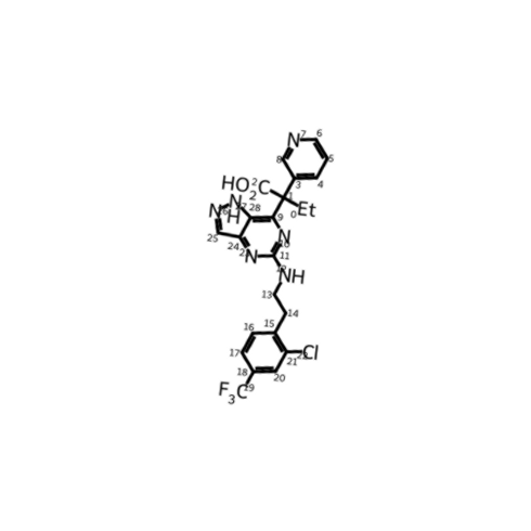 CCC(C(=O)O)(c1cccnc1)c1nc(NCCc2ccc(C(F)(F)F)cc2Cl)nc2cn[nH]c12